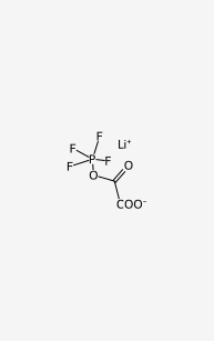 O=C([O-])C(=O)OP(F)(F)(F)F.[Li+]